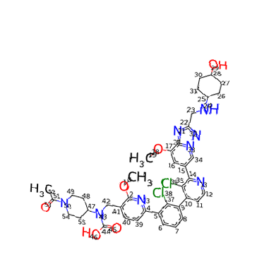 COc1nc(-c2cccc(-c3ccnc(-c4cc(OC)c5nc(CNC6CCC(O)CC6)nn5c4)c3Cl)c2Cl)ccc1CN(C(=O)O)C1CCN(C(C)=O)CC1